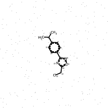 CC(C)c1ccc(-c2noc(CCl)n2)cc1